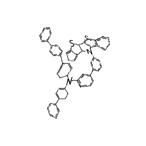 C1=CC(N(C2=CC=C(c3ccccc3)CC2)c2cccc(-c3cccc(N4c5c(sc6ccccc56)C5SC6=CCC=C6C54)c3)c2)CC=C1c1ccc(-c2ccccc2)cc1